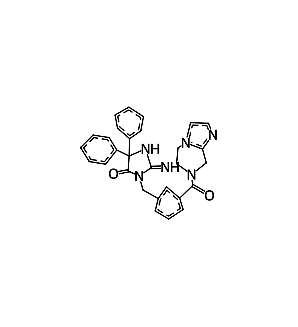 N=C1NC(c2ccccc2)(c2ccccc2)C(=O)N1Cc1cccc(C(=O)N2CCn3ccnc3C2)c1